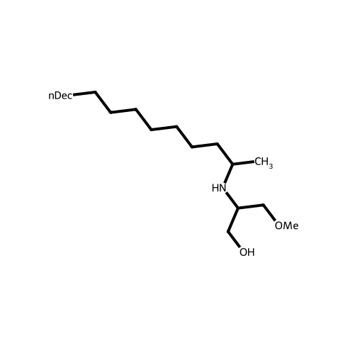 CCCCCCCCCCCCCCCCCC(C)NC(CO)COC